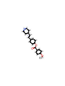 CCOc1ccc(C(=O)Oc2ccc(/C=C/c3ccncc3)cc2)cc1